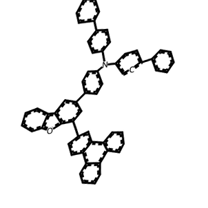 c1ccc(-c2ccc(N(c3ccc(-c4ccccc4)cc3)c3ccc(-c4cc(-c5ccc6c7ccccc7c7ccccc7c6c5)c5oc6ccccc6c5c4)cc3)cc2)cc1